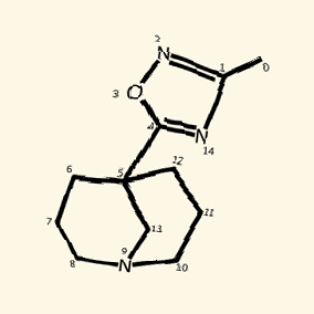 Cc1noc(C23CCCN(CCC2)C3)n1